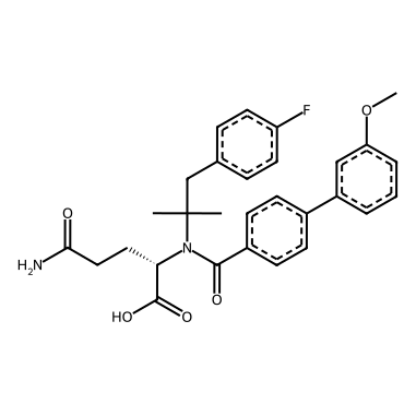 COc1cccc(-c2ccc(C(=O)N([C@@H](CCC(N)=O)C(=O)O)C(C)(C)Cc3ccc(F)cc3)cc2)c1